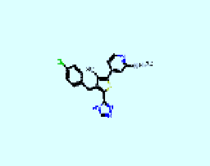 CC(=O)Nc1cc(-c2sc(-c3nnc[nH]3)c(Cc3ccc(Cl)cc3)c2C#N)ccn1